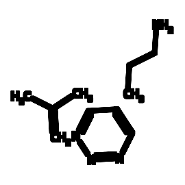 C=C(C)C.CCCN.c1cnnnc1